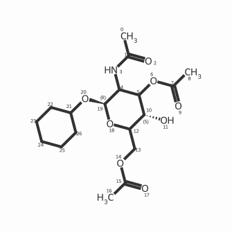 CC(=O)NC1C(OC(C)=O)[C@H](O)C(COC(C)=O)O[C@H]1OC1CCCCC1